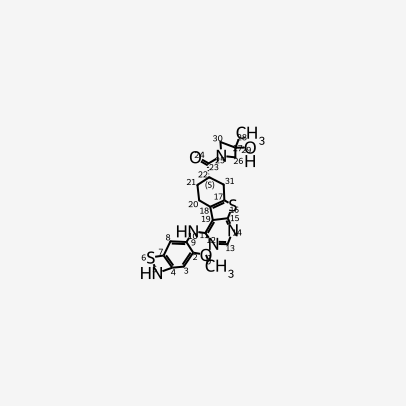 COc1cc2[nH]sc2cc1Nc1ncnc2sc3c(c12)CC[C@H](C(=O)N1CC(C)(O)C1)C3